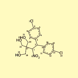 O=[N+]([O-])C(C(c1ccc(Cl)cc1)c1ccc(Cl)cc1)C(CO)(CO)CO